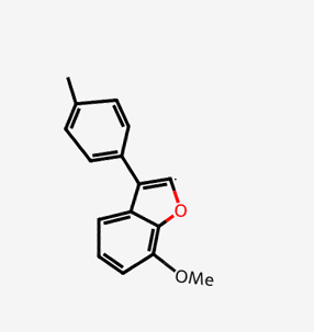 COc1cccc2c(-c3ccc(C)cc3)[c]oc12